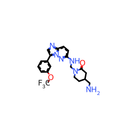 NCC1CCN(CNc2ccc3ncc(-c4cccc(OC(F)(F)F)c4)n3n2)C(=O)C1